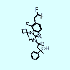 CC(O)(CC(=O)Nc1nc2ccc(CC(F)F)c(F)c2n1C1(C)CCC1)c1ccccc1